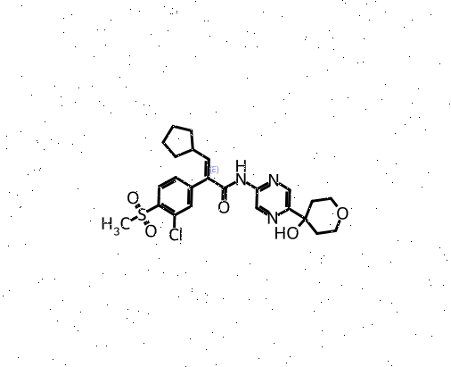 CS(=O)(=O)c1ccc(/C(=C\C2CCCC2)C(=O)Nc2cnc(C3(O)CCOCC3)cn2)cc1Cl